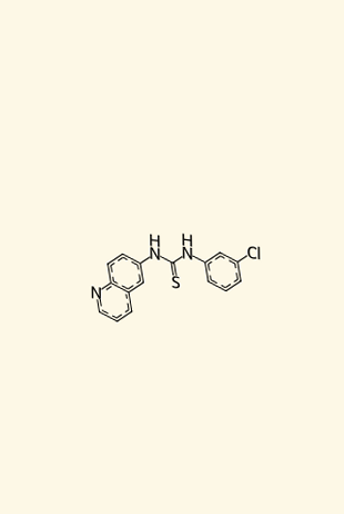 S=C(Nc1cccc(Cl)c1)Nc1ccc2ncccc2c1